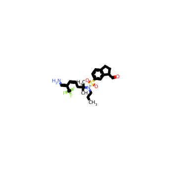 CCCN(C(C)(C)C/C=C\C(=C/N)C(F)(F)F)S(=O)(=O)c1ccc2c(c1)C(C=O)CC2